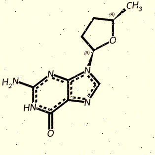 C[C@@H]1CC[C@H](n2cnc3c(=O)[nH]c(N)nc32)O1